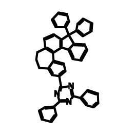 c1ccc(-c2nc(-c3ccccc3)nc(-c3ccc4c(c3)CCCc3ccc5c(c3-4)-c3ccccc3C5(c3ccccc3)c3ccccc3)n2)cc1